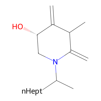 C=C1C(C)C(=C)N(C(C)CCCCCCC)C[C@@H]1O